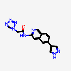 O=C(Cn1cnnn1)Nc1cc2cc(-c3cn[nH]c3)ccc2cn1